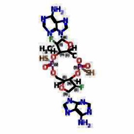 C[C@@]1(F)[C@@H]2O[P@@](=O)(S)OC[C@H]3O[C@@H](n4cnc5c(N)ncnc54)[C@H](F)[C@@H]3O[P@](=O)(S)OC[C@H]2O[C@H]1n1cnc2c(N)ncnc21